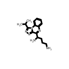 CC(C)c1nnc2c(C(N)CCCN)nc3ccccc3n12